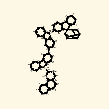 C1=C2CC3CC1CC(C2)C31c2ccccc2-c2ccc(-n3c4ccccc4c4cc(-c5ccc6c(c5)c5ccccc5n6-c5ncc6ccc7ccccc7c6n5)ccc43)cc21